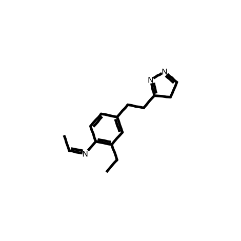 C/C=N\c1ccc(CCC2=NN=CC2)cc1CC